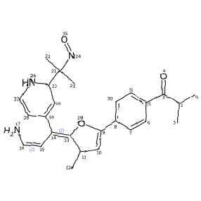 CC(C)C(=O)c1ccc(C2=CC(C)/C(=C(\C=C/N)C3=CC(C(C)(C)N=O)NC=C3)O2)cc1